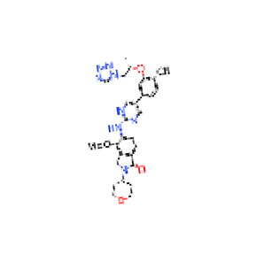 COc1c(Nc2ncc(-c3ccc(C#N)c(O[C@@H](C)Cn4cnnn4)c3)cn2)ccc2c1CN(C1CCOCC1)C2=O